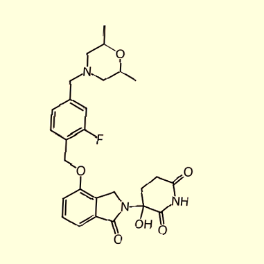 CC1CN(Cc2ccc(COc3cccc4c3CN(C3(O)CCC(=O)NC3=O)C4=O)c(F)c2)CC(C)O1